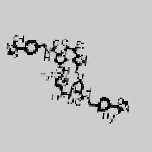 CC[C@@H](C(=O)N1C[C@H](OCc2cc([C@@H](CC)C(=O)N3C[C@H](O)C[C@H]3C(=O)NCc3ccc(-c4scnc4C)cc3)on2)C[C@H]1C(=O)NCc1ccc(-c2ocnc2C)cc1)c1cc(C)no1